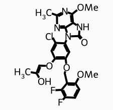 COc1ccc(F)c(F)c1COc1cc(-n2c(=O)[nH]c3c(OC)nc(C)nc32)c(Cl)cc1O/C=C(/C)O